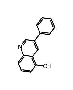 Oc1cccc2ncc(-c3ccccc3)cc12